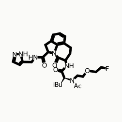 CC[C@H](C)[C@@H](C(=O)NC1CCc2cccc3c2N(C1=O)C(C(=O)NCc1ccn[nH]1)C3)N(CCOCCF)C(C)=O